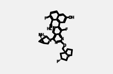 C#Cc1c(F)ccc2cc(O)cc(-c3ncc4c(N5CC6C[C@@]6(N)C5)nc(OC[C@@]56CCCN5C[C@H](F)C6)nc4c3F)c12